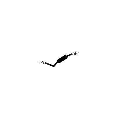 [CH2]CCC#CC[C](C)C